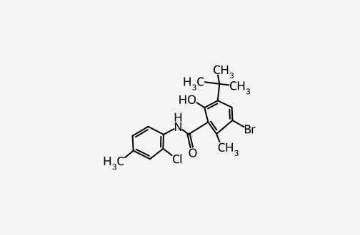 Cc1ccc(NC(=O)c2c(C)c(Br)cc(C(C)(C)C)c2O)c(Cl)c1